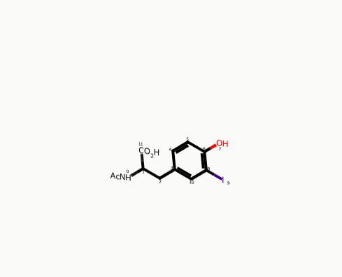 CC(=O)NC(Cc1ccc(O)c(I)c1)C(=O)O